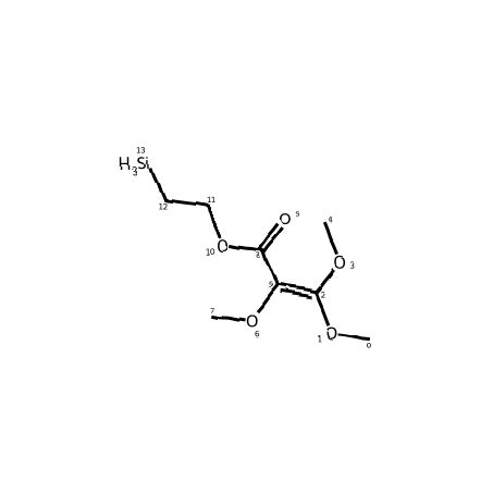 COC(OC)=C(OC)C(=O)OCC[SiH3]